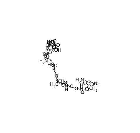 Cc1ccc(C(=O)NCCOCCOCCNC(=O)OCCC(C)(C)SSCOCCCCOC(=O)NCC#Cc2cn([C@H]3CC(OCN=[N+]=[N-])[C@@H](COP(=O)(O)OP(=O)(O)OP(=O)(O)O)O3)c(=O)nc2N)cc1-c1c2ccc(=N)cc-2oc2cc(N)ccc12